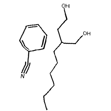 CCCCCCC(CO)CCO.N#Cc1ccccc1